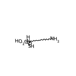 NCCCCCCCCCCCCCCCCC(=O)NC(CCS)C(=O)O